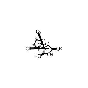 O=C1CC2(C(=O)O1)C1CCC2C(=O)OC1=O